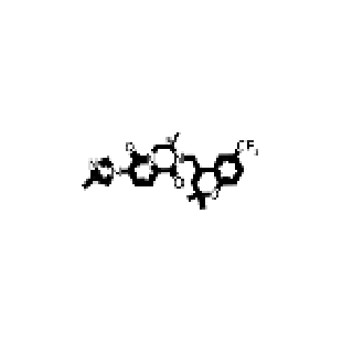 Cc1cn(-c2ccc3n(c2=O)C[C@@H](C)N(CC2=CC(C)(C)Oc4ccc(C(F)(F)F)cc42)C3=O)cn1